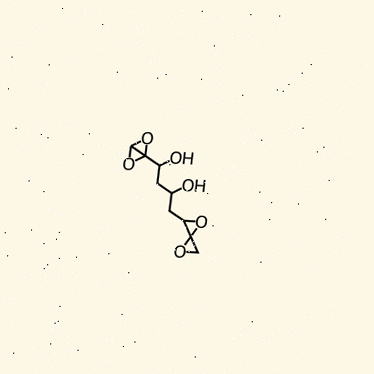 OC(CC1OC12CO2)CC(O)C12OC1O2